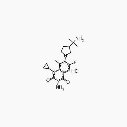 Cc1c(N2CCC(C(C)(C)N)C2)c(F)cc2c(=O)n(N)c(=O)n(C3CC3)c12.Cl